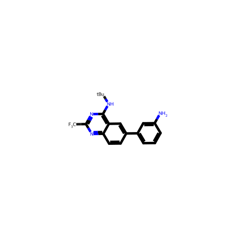 CC(C)(C)Nc1nc(C(F)(F)F)nc2ccc(-c3cccc(N)c3)cc12